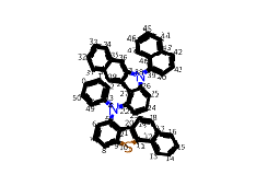 c1ccc(N(c2cccc3sc4c5ccccc5ccc4c23)c2cccc3c2c2cc4ccccc4cc2n3-c2cccc3ccccc23)cc1